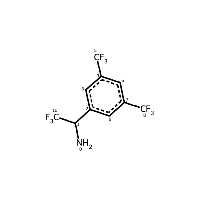 NC(c1cc(C(F)(F)F)cc(C(F)(F)F)c1)C(F)(F)F